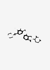 [2H]c1c(C([2H])Oc2cccc3c2CN(C2CCC(=O)NC2=O)C3=O)ccc(C([2H])([2H])N2CCOCC2)c1[2H]